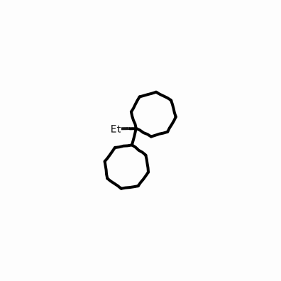 CCC1(C2CCCCCCC2)CCCCCCC1